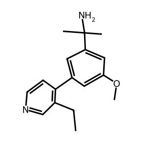 CCc1cnccc1-c1cc(OC)cc(C(C)(C)N)c1